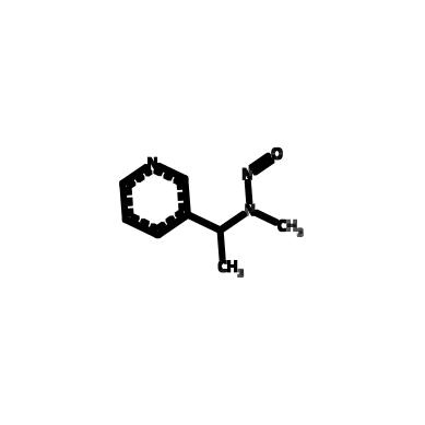 CC(c1cccnc1)N(C)N=O